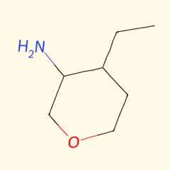 CCC1CCOCC1N